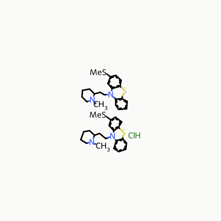 CSc1ccc2c(c1)N(CCC1CCCCN1C)c1ccccc1S2.CSc1ccc2c(c1)N(CCC1CCCCN1C)c1ccccc1S2.Cl